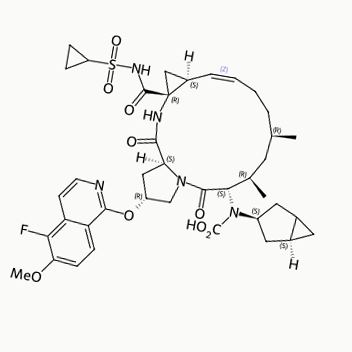 COc1ccc2c(O[C@@H]3C[C@H]4C(=O)N[C@]5(C(=O)NS(=O)(=O)C6CC6)C[C@H]5/C=C\CC[C@@H](C)C[C@@H](C)[C@H](N(C(=O)O)[C@H]5CC6C[C@H]6C5)C(=O)N4C3)nccc2c1F